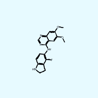 COc1cc2ncnc(Nc3ccc4c(c3F)CCN4)c2cc1OC